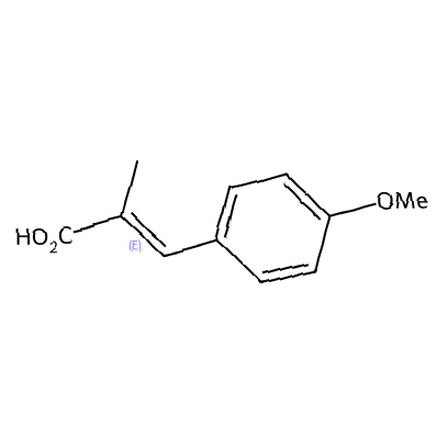 COc1ccc(/C=C(\C)C(=O)O)cc1